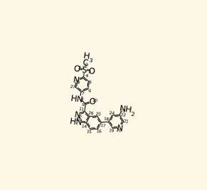 CS(=O)(=O)c1ccc(NC(=O)c2n[nH]c3ccc(-c4cncc(N)c4)cc23)cn1